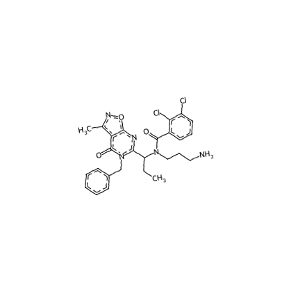 CCC(c1nc2onc(C)c2c(=O)n1Cc1ccccc1)N(CCCN)C(=O)c1cccc(Cl)c1Cl